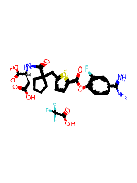 N=C(N)c1ccc(OC(=O)c2ccc(CC3(C(=O)N[C@@H](CC(=O)O)C(=O)O)CCCC3)s2)c(F)c1.O=C(O)C(F)(F)F